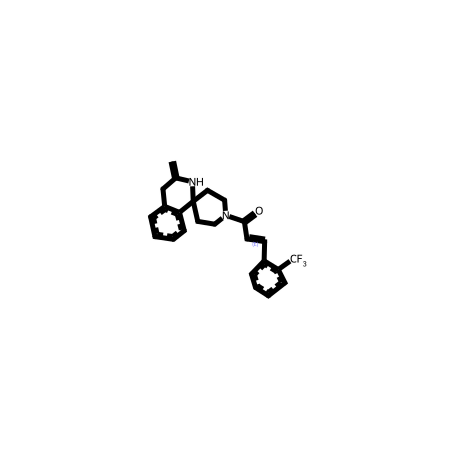 C=C1Cc2ccccc2C2(CCN(C(=O)/C=C/c3ccccc3C(F)(F)F)CC2)N1